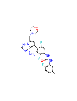 Cc1ccc(F)c(NC(=O)Nc2cc(F)c(-c3cc(CN4CCOCC4)n4ncnc(N)c34)cc2F)c1